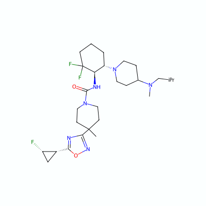 CC(C)CN(C)C1CCN([C@H]2CCCC(F)(F)[C@@H]2NC(=O)N2CCC(C)(c3noc([C@@H]4C[C@@H]4F)n3)CC2)CC1